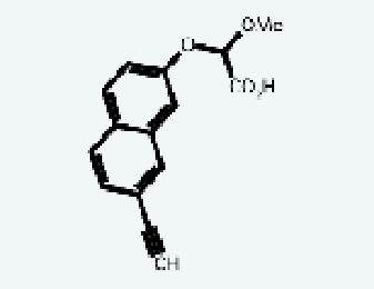 C#Cc1ccc2ccc(OC(OC)C(=O)O)cc2c1